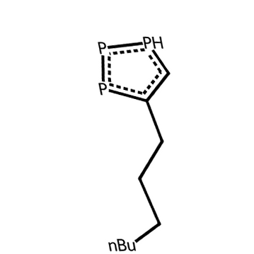 CCCCCCCc1c[pH]pp1